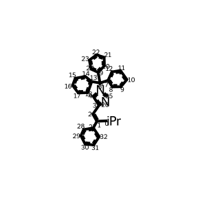 CC(C)/C(=C\c1cn(C(c2ccccc2)(c2ccccc2)c2ccccc2)cn1)c1ccccc1